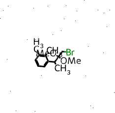 COC(CBr)(OC)C(C)c1cccc(C)c1C